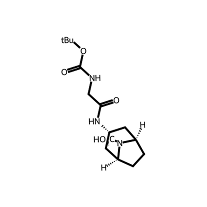 CC(C)(C)OC(=O)NCC(=O)N[C@@H]1C[C@H]2CC[C@@H](C1)N2C(=O)O